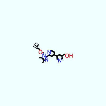 Cc1nc(-c2cc(-c3cncc(CO)c3)ccn2)n(COCC[Si](C)(C)C)c1C